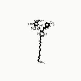 CCCCCCCCCCCCCCCCCCCCCCCC(=O)N[C@@H](COC1OC(CO)C(O)C(O)C1O)[C@H](O)[C@H](O)Cc1ccc(C)cc1